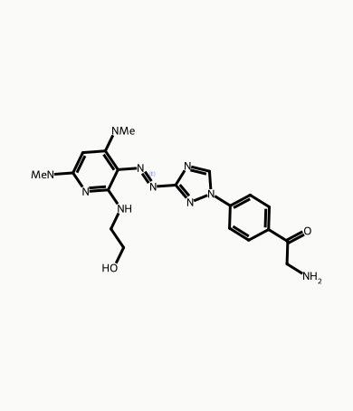 CNc1cc(NC)c(/N=N/c2ncn(-c3ccc(C(=O)CN)cc3)n2)c(NCCO)n1